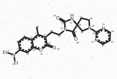 CCN(CC)c1ccc2c(C)c(CCN3C(=O)NC4(CCN(c5ncccn5)C4)C3=O)c(=O)oc2c1